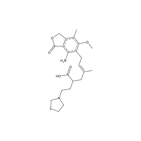 COc1c(C)c2c(c(N)c1C/C=C(\C)CC(CCN1CCSC1)C(=O)O)C(=O)OC2